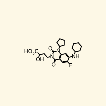 O=C(O)C(O)CCn1c(=O)c2cc(F)c(NC3CCCCC3)cc2n(C2CCCC2)c1=O